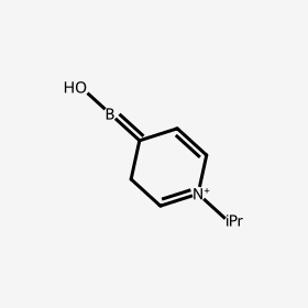 CC(C)[N+]1=CC/C(=B\O)C=C1